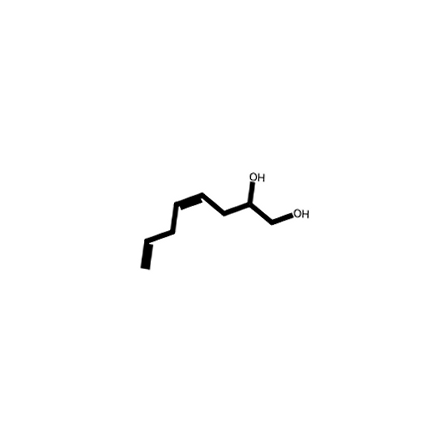 C=CC/C=C\CC(O)CO